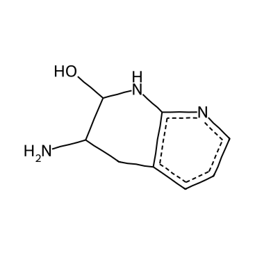 NC1Cc2cccnc2NC1O